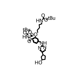 CC(C)(C)OC(=O)NCCCCCOc1cc(Nc2ncc(C3CCC(O)C3)cn2)ccc1S(=O)(=O)NC(=O)OC(C)(C)C